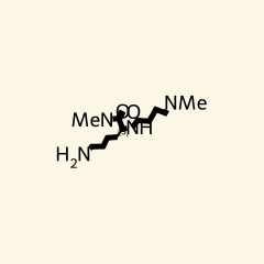 CNCCCC(=O)N[C@@H](CCCCN)C(=O)NC